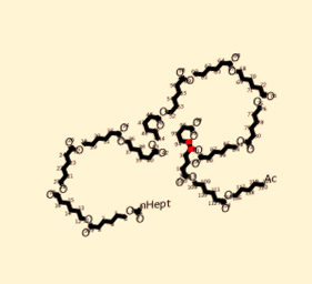 CCCCCCCC(=O)OCCCCCC(=O)OCCCCCC(=O)OCCCCCC(=O)OCCCCCC(=O)OCCCCCC(=O)OCCCCCC(=O)OCCCCCC(=O)OCCCCCC(=O)OCCCCCC(=O)OCCCCCC(=O)OCCCCCC(=O)OCCCCCC(=O)OCCCCCC(=O)OCCCCCC(=O)OCCCCCC(C)=O